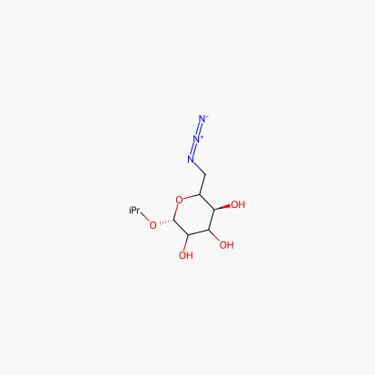 CC(C)O[C@@H]1OC(CN=[N+]=[N-])[C@@H](O)C(O)C1O